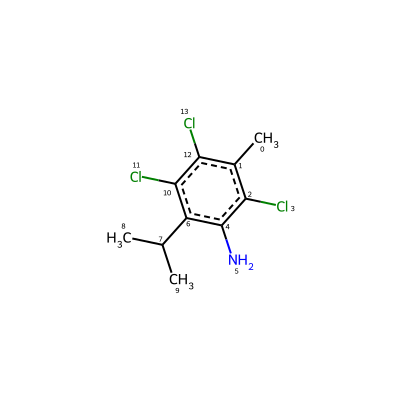 Cc1c(Cl)c(N)c(C(C)C)c(Cl)c1Cl